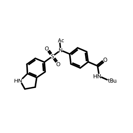 CC(=O)N(c1ccc(C(=O)NC(C)(C)C)cc1)S(=O)(=O)c1ccc2c(c1)CCN2